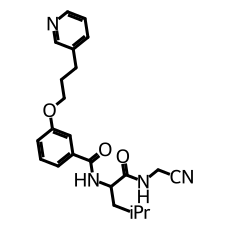 CC(C)CC(NC(=O)c1cccc(OCCCc2cccnc2)c1)C(=O)NCC#N